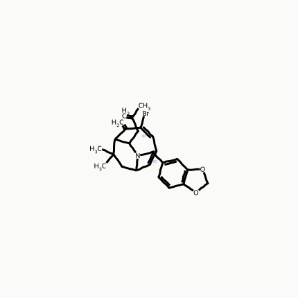 C=C(C)CC1C2C(=C)/C(Br)=C\C=C/C(CC2(C)C)N1Cc1ccc2c(c1)OCO2